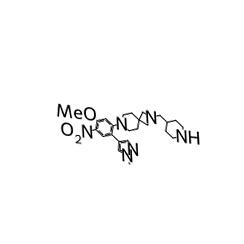 COc1cc(N2CCC3(CC2)CN(CC2CCNCC2)C3)c(-c2cnn(C)c2)cc1[N+](=O)[O-]